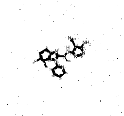 Cc1c(F)ccc2nc([C@H](C)Nc3ncnc(N)c3C#N)n(-c3ccccn3)c12